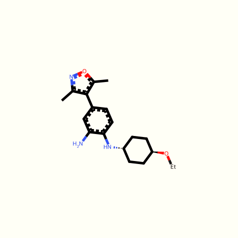 CCO[C@H]1CC[C@H](Nc2ccc(-c3c(C)noc3C)cc2N)CC1